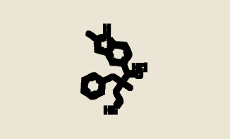 Cc1cc2cc(C(=O)C(C)(CC=N)Cc3ccccc3)ccc2[nH]1.Cl